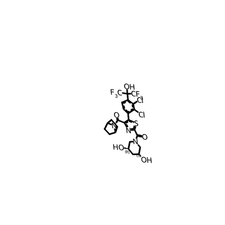 O=C(c1nc(C(=O)N2C3CCC2CC3)c(-c2ccc(C(O)(C(F)(F)F)C(F)(F)F)c(Cl)c2Cl)s1)N1C[C@H](O)C[C@H](O)C1